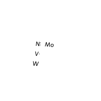 [Mo].[N].[V].[W]